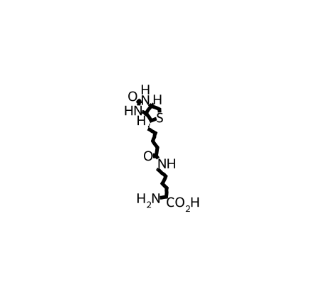 N[C@@H](CCCCNC(=O)CCCC[C@H]1SC[C@H]2NC(=O)N[C@H]21)C(=O)O